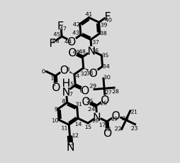 CC(=O)O[C@@H](C(=O)Nc1ccc(C#N)c(CN(C(=O)OC(C)(C)C)C(=O)OC(C)(C)C)c1)[C@H]1OCCN(c2cc(F)ccc2OC(F)F)C1=O